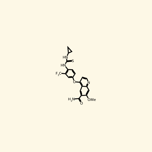 COc1cc2nccc(Oc3ccc(NC(=S)NC4CC4)c(C(F)(F)F)c3)c2cc1C(N)=O